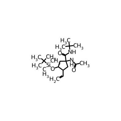 C=CC1CC(NC(C)=O)(C(=O)NC(C)(C)C)CC1O[Si](C)(C)C(C)(C)C